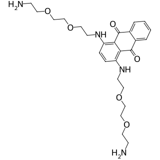 NCCOCCOCCNc1ccc(NCCOCCOCCN)c2c1C(=O)c1ccccc1C2=O